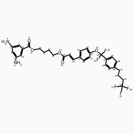 Nc1cc(N)cc(C(=O)OCCCCOC(=O)/C=C/c2ccc(OC(F)(F)c3ccc(CCCC(F)(F)F)cc3)cc2)c1